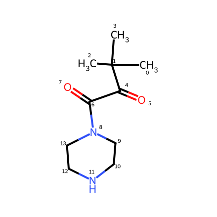 CC(C)(C)C(=O)C(=O)N1CCNCC1